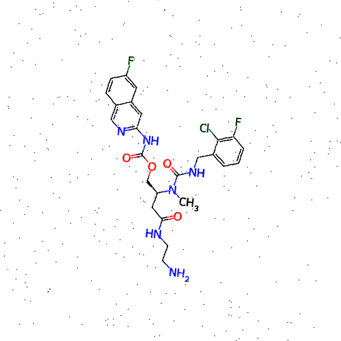 CN(C(=O)NCc1cccc(F)c1Cl)[C@H](COC(=O)Nc1cc2cc(F)ccc2cn1)CC(=O)NCCN